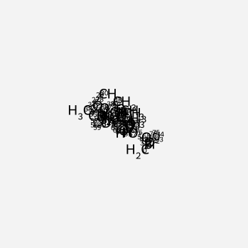 C=C(Br)C[C@@H](CC[C@@]12C[C@H]3O[C@H]4C(O1)[C@H]1O[C@@H](CC(=O)C([C@H]5C(C[C@H]6OC(CCCC)C[C@@H](C)C6=C)O[C@H](C[C@H](C)CO[Si](C)(C)C(C)(C)C)[C@@H]5C)S(=O)(=O)c5ccccc5)CC[C@@H]1O[C@H]4C3O2)OC(=O)c1ccccc1